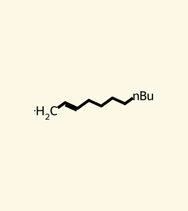 [CH2]C=CCCCCCCC[CH2]